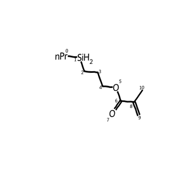 [CH2]CC[SiH2]CCCOC(=O)C(=C)C